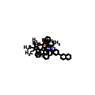 Bc1c(B)c(B)c2c(c1B)Bc1c(B)c(B)c(C)c(B)c1C21c2ccccc2-c2ccc(N(/C(=C/C)c3c(C(=C)c4cccc5ccccc45)oc4ccccc34)c3ccc(-c4ccc5ccccc5c4)cc3)cc21